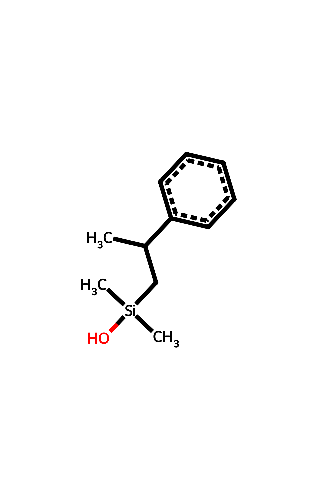 CC(C[Si](C)(C)O)c1ccccc1